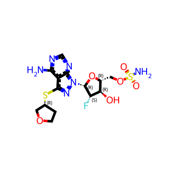 Nc1ncnc2c1c(S[C@@H]1CCOC1)nn2[C@@H]1O[C@H](COS(N)(=O)=O)[C@@H](O)[C@@H]1F